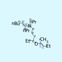 CC/C=C(\C)OC(CC)CCCN(CCC)/C(=C/CCCC)CCC